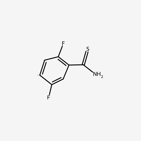 NC(=S)c1cc(F)[c]cc1F